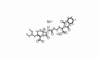 CCN(CC)CC1=C(C(=O)[O-])N2C(=O)[C@@H](NC(=O)CCCC(C(=O)O)N3C(=O)c4ccccc4C3=O)[C@@H]2SC1.[Na+]